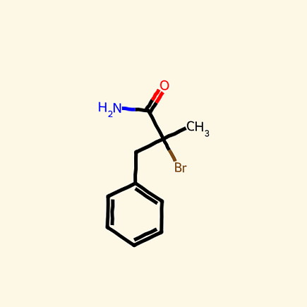 CC(Br)(Cc1ccccc1)C(N)=O